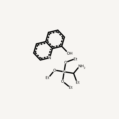 CCO[Si](OCC)(OCC)C(N)CC.Oc1cccc2cccnc12